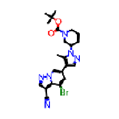 Cc1c(-c2cc(Br)c3c(C#N)cnn3c2)cnn1C1CCCN(C(=O)OC(C)(C)C)C1